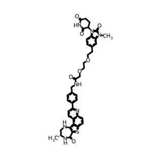 C[C@@H]1CNc2c(sc3ccc4nc(-c5ccc(CNC(=O)COCCOCCc6ccc7c(c6)n(C)c(=O)n7C6CCC(=O)NC6=O)cc5)ccc4c23)C(=O)N1